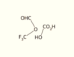 O=C(O)O.O=COC(F)(F)F